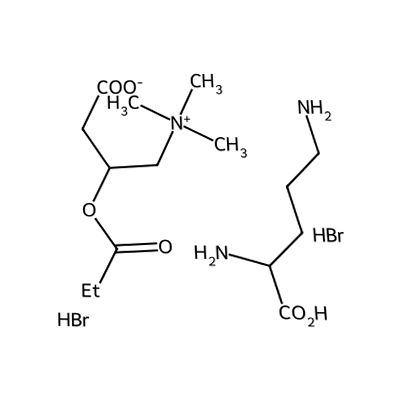 Br.Br.CCC(=O)OC(CC(=O)[O-])C[N+](C)(C)C.NCCCC(N)C(=O)O